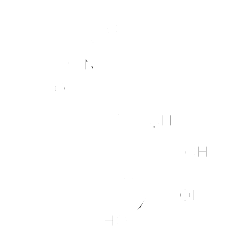 O=C1c2ccccc2C(=O)N1Cc1cccc(C2O[C@H](CO)[C@@H](O)C(O)[C@H]2O)c1